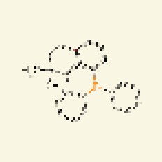 CC1(C)CC=CC=C1c1ccccc1P(c1ccccc1)c1ccccc1